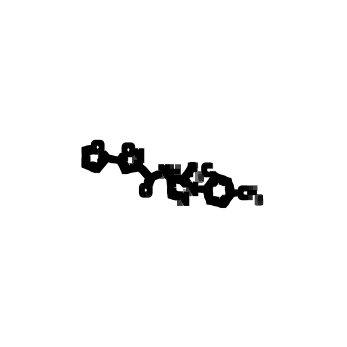 Cc1c(NC(=O)c2cc(-c3ccco3)on2)cnn1-c1ccc(C(F)(F)F)cc1C(F)(F)F